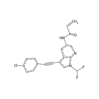 C=CC(=O)Nc1cnc2c(c1)c(C#Cc1ccc(Cl)cc1)cn2C(F)F